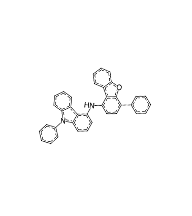 c1ccc(-c2ccc(Nc3cccc4c3c3ccccc3n4-c3ccccc3)c3c2oc2ccccc23)cc1